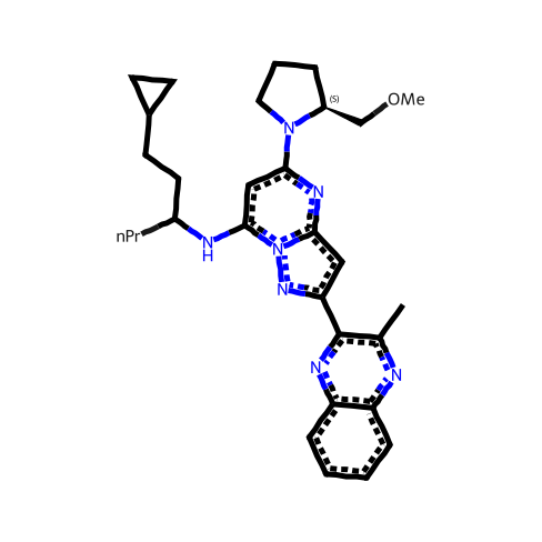 CCCC(CCC1CC1)Nc1cc(N2CCC[C@H]2COC)nc2cc(-c3nc4ccccc4nc3C)nn12